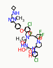 C[C@H]1C(=O)N[C@@H](CO)C(O)N[C@@]2(Cc3ccc(Cl)cc3)CCCN(C2)C(=O)[C@H](CC(F)(F)F)CC(=O)N1Cc1c(F)cc(Cl)cc1Oc1ccc(-c2cnc(CNC3CCC3)n2C)cc1